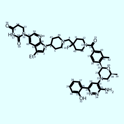 CCc1cn(C2CCN(CC3(F)CCN(C(=O)c4ccc([C@@H]5CN(c6cc(-c7ccccc7O)nnc6N)C[C@H](C)O5)c(C)c4)CC3)CC2)c2ncc(N3CCC(=O)NC3=O)cc12